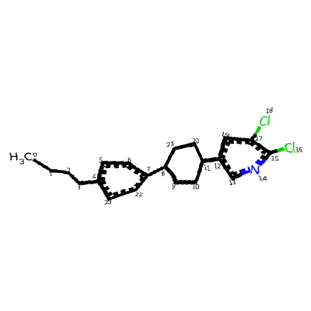 CCCCc1ccc(C2CCC(c3cnc(Cl)c(Cl)c3)CC2)cc1